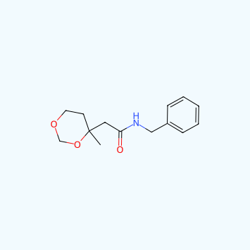 CC1(CC(=O)NCc2ccccc2)CCOCO1